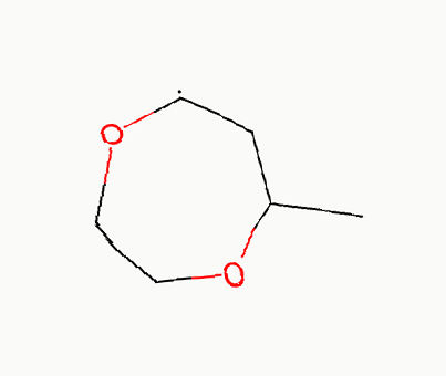 CC1C[CH]OCCO1